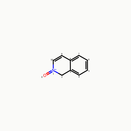 O=[N+]1[CH]c2ccccc2C=C1